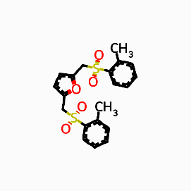 Cc1ccccc1S(=O)(=O)Cc1ccc(CS(=O)(=O)c2ccccc2C)o1